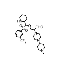 CN1CCC(N2CCN(C(C=O)COC(C3CCCCN3)S(=O)(=O)c3cccc(C(F)(F)F)c3)CC2)CC1